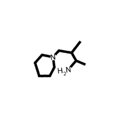 CC(N)C(C)CN1CCCCC1